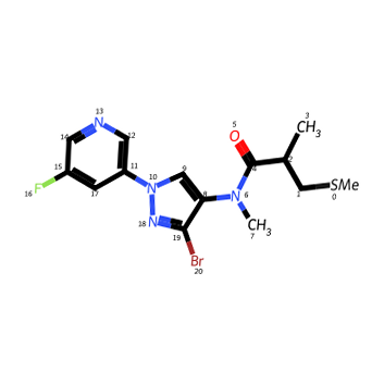 CSCC(C)C(=O)N(C)c1cn(-c2cncc(F)c2)nc1Br